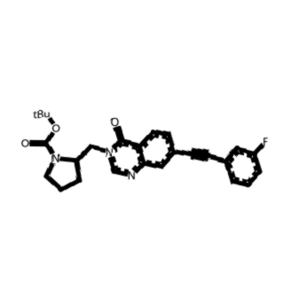 CC(C)(C)OC(=O)N1CCCC1Cn1cnc2cc(C#Cc3cccc(F)c3)ccc2c1=O